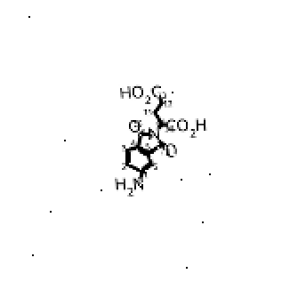 Nc1ccc2c(c1)C(=O)N([C@@H](CCC(=O)O)C(=O)O)C2=O